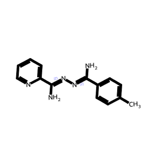 Cc1ccc(/C(N)=N/N=C(\N)c2ccccn2)cc1